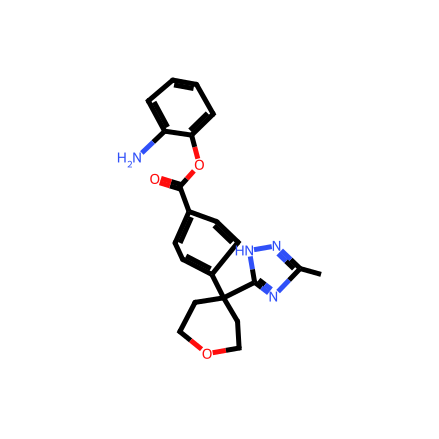 Cc1n[nH]c(C2(c3ccc(C(=O)Oc4ccccc4N)cc3)CCOCC2)n1